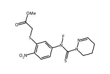 COC(=O)CSc1cc(N(F)C(=S)N2CCCC=N2)ccc1[N+](=O)[O-]